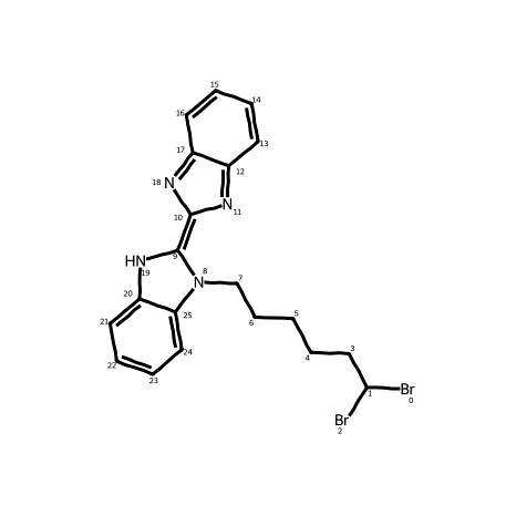 BrC(Br)CCCCCN1C(=C2N=c3ccccc3=N2)Nc2ccccc21